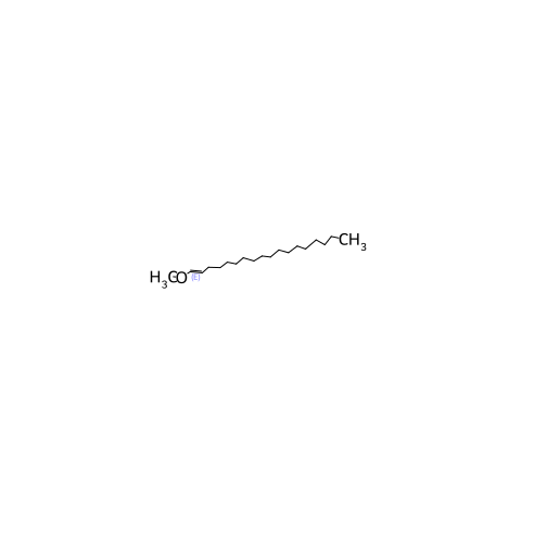 CCCCCCCCCCCCCCCC/C=C/OC